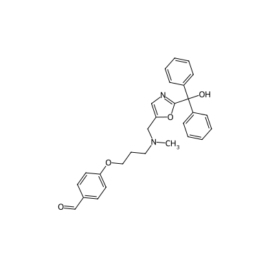 CN(CCCOc1ccc(C=O)cc1)Cc1cnc(C(O)(c2ccccc2)c2ccccc2)o1